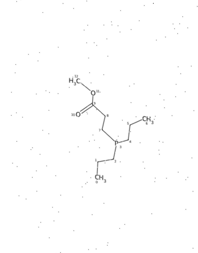 CCCP(CCC)CCC(=O)OC